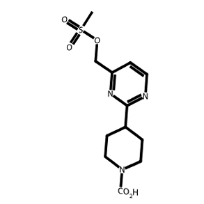 CS(=O)(=O)OCc1ccnc(C2CCN(C(=O)O)CC2)n1